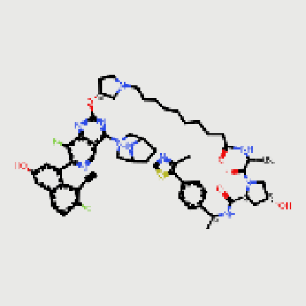 C#Cc1c(F)ccc2cc(O)cc(-c3ncc4c(N5CC6CCC(C5)N6)nc(O[C@@H]5CCN(CCCCCCCCCC(=O)NC(C(=O)N6C[C@H](O)C[C@H]6C(=O)N[C@@H](C)c6ccc(-c7scnc7C)cc6)C(C)(C)C)C5)nc4c3F)c12